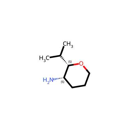 CC(C)[C@@H]1OCCC[C@@H]1N